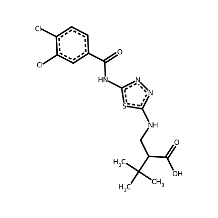 CC(C)(C)C(CNc1nnc(NC(=O)c2ccc(Cl)c(Cl)c2)s1)C(=O)O